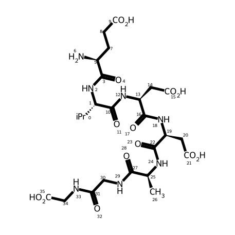 CC(C)[C@H](NC(=O)[C@@H](N)CCC(=O)O)C(=O)N[C@@H](CC(=O)O)C(=O)N[C@@H](CC(=O)O)C(=O)N[C@@H](C)C(=O)NCC(=O)NCC(=O)O